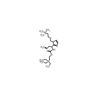 C=CCC(NC(=O)OCC[Si](CC)(CC)CC)c1nccn1COCC[Si](C)(C)C